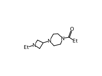 CCC(=O)N1CCN(C2CN(CC)C2)CC1